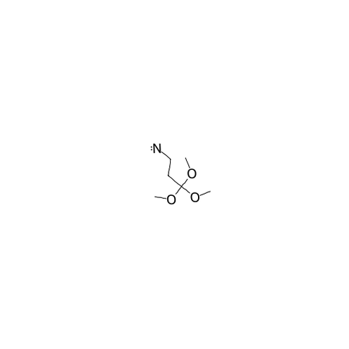 COC(CC[N])(OC)OC